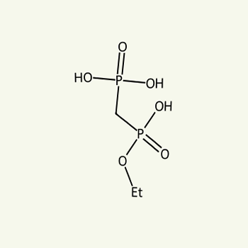 CCOP(=O)(O)CP(=O)(O)O